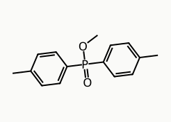 COP(=O)(c1ccc(C)cc1)c1ccc(C)cc1